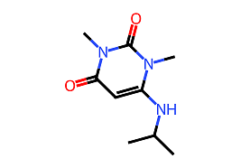 CC(C)Nc1cc(=O)n(C)c(=O)n1C